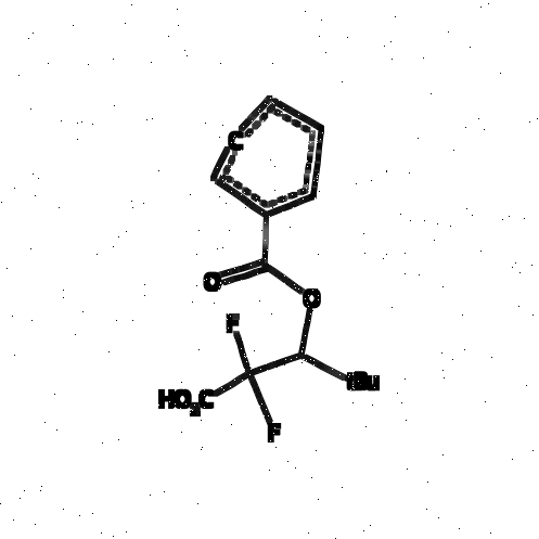 CC(C)(C)C(OC(=O)c1ccccc1)C(F)(F)C(=O)O